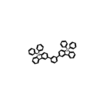 c1ccc([Si]2(c3ccccc3)c3ccccc3-c3cc(-c4cccc(-c5ccc6c(c5)-c5ccccc5[Si]6(c5ccccc5)c5ccccc5)c4)ccc32)cc1